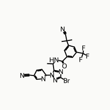 CC(NC(=O)c1cc(C(F)(F)F)cc(C(C)(C)C#N)c1)c1nc(Br)nn1-c1ccc(C#N)cn1